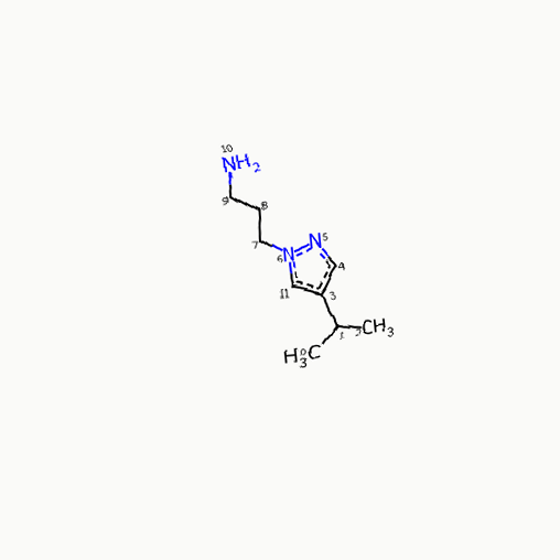 CC(C)c1cnn(CCCN)c1